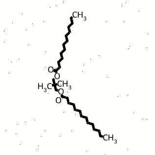 CCCCCCCCCCCCCC(=O)OCC(C)(C)COC(=O)CCCCCCCCCCCCC